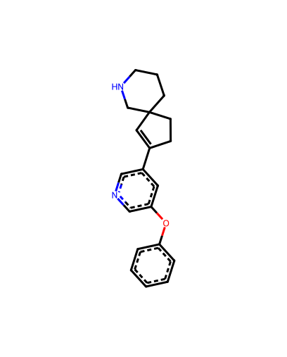 C1=C(c2cncc(Oc3ccccc3)c2)CCC12CCCNC2